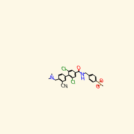 CN(C)Cc1ccc(-c2c(Cl)cc(C(=O)NCc3ccc(S(C)(=O)=O)cc3)cc2Cl)cc1C#N